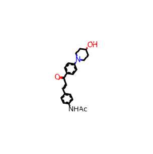 CC(=O)Nc1ccc(C=CC(=O)c2ccc(N3CCC(O)CC3)cc2)cc1